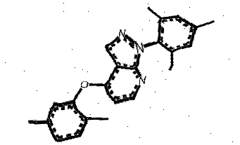 Cc1cc(C)c(-n2ncc3c(Oc4cc(C)ccc4C)ccnc32)c(C)c1